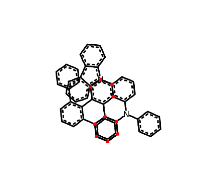 c1ccc(-c2ccccc2-c2c(-c3ccccc3)cccc2-c2cccc(N(c3ccccc3)c3cccc(-n4c5ccccc5c5ccccc54)c3)c2)cc1